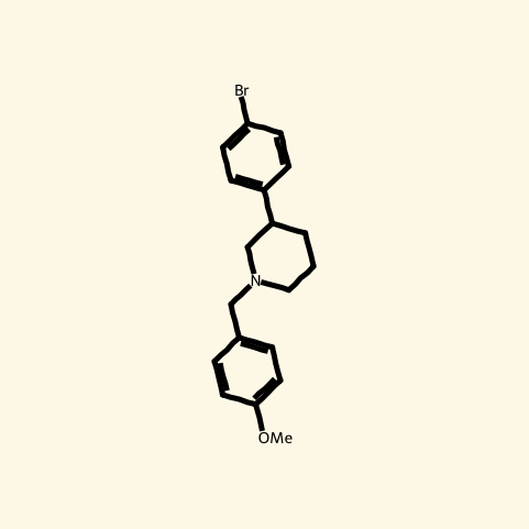 COc1ccc(CN2CCCC(c3ccc(Br)cc3)C2)cc1